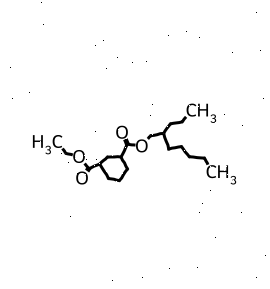 CCCCCC(CCC)COC(=O)C1CCCC(C(=O)OCC)C1